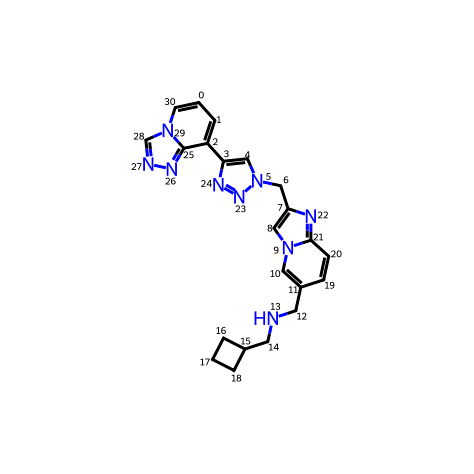 c1cc(-c2cn(Cc3cn4cc(CNCC5CCC5)ccc4n3)nn2)c2nncn2c1